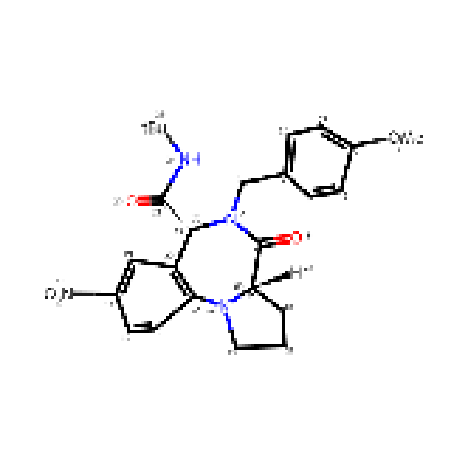 COc1ccc(CN2C(=O)[C@@H]3CCCN3c3ccc([N+](=O)[O-])cc3[C@@H]2C(=O)NC(C)(C)C)cc1